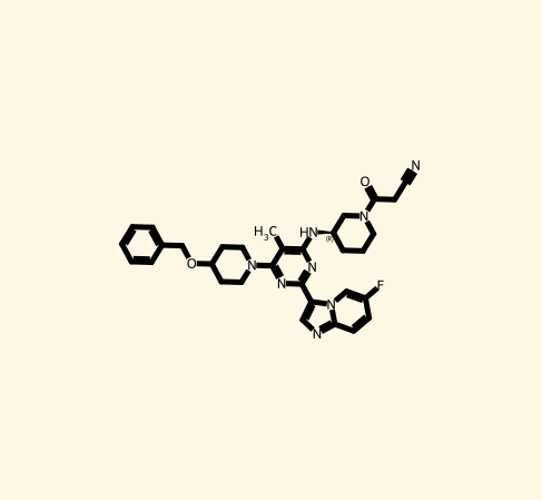 Cc1c(N[C@@H]2CCCN(C(=O)CC#N)C2)nc(-c2cnc3ccc(F)cn23)nc1N1CCC(OCc2ccccc2)CC1